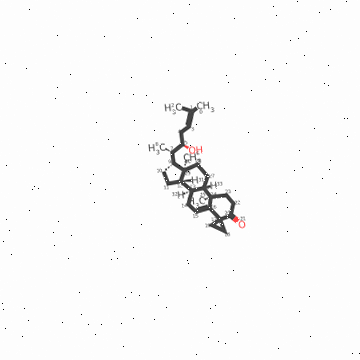 CC(C)=CC[C@@H](O)[C@@H](C)[C@H]1CC[C@H]2[C@@H]3CC=C4C5(CC5)C(=O)CC[C@]4(C)[C@H]3CC[C@]12C